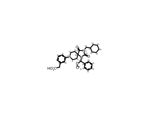 O=C(O)Cc1cccc(N2CCC3(CC2)C(=O)N(CC2CCCCC2)C(=O)N3C(OC(F)(F)F)c2ccccc2)c1